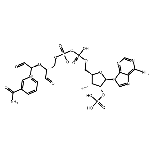 NC(=O)c1ccc[n+]([C@@H](C=O)O[C@@H](C=O)COP(=O)([O-])OP(=O)(O)OC[C@H]2O[C@@H](n3cnc4c(N)ncnc43)[C@H](OP(=O)(O)O)[C@@H]2O)c1